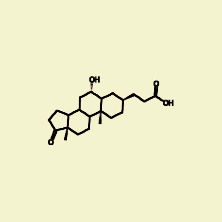 C[C@]12CC[C@H](CCC(=O)O)CC1[C@@H](O)CC1C2CC[C@]2(C)C(=O)CCC12